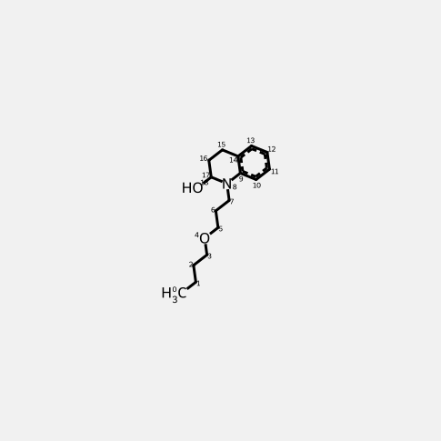 CCCCOCCCN1c2ccccc2CCC1O